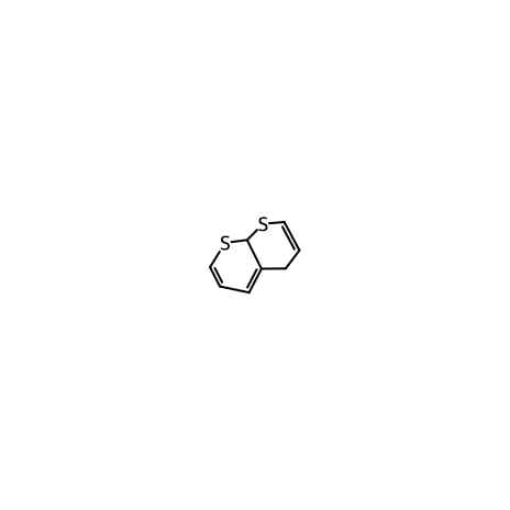 C1=CSC2SC=CCC2=C1